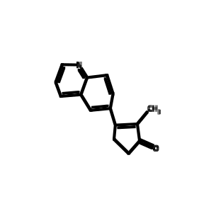 CC1=C(c2ccc3ncccc3c2)CCC1=O